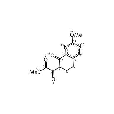 COC(=O)C(=O)C1CCc2cnc(OC)nc2C1=O